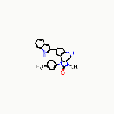 Cc1ccc(-n2c3c(n(C)c2=O)CNc2ccc(C4=CNC5C=CC=CC5=C4)cc2-3)cc1